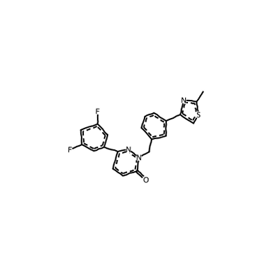 Cc1nc(-c2cccc(Cn3nc(-c4cc(F)cc(F)c4)ccc3=O)c2)cs1